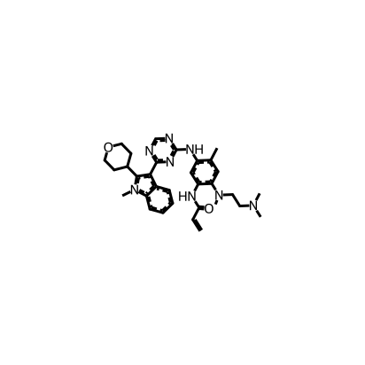 C=CC(=O)Nc1cc(Nc2ncnc(-c3c(C4CCOCC4)n(C)c4ccccc34)n2)c(C)cc1N(C)CCN(C)C